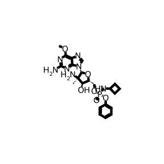 COc1nc(N)nc2c1ncn2[C@@H]1O[C@H](COP(=O)(NC2CCC2)Oc2ccccc2)[C@@H](O)[C@@]1(C)N